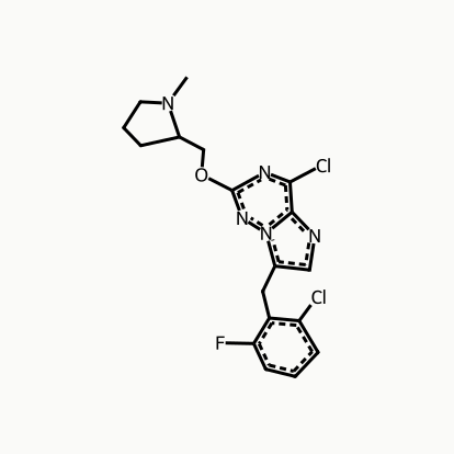 CN1CCCC1COc1nc(Cl)c2ncc(Cc3c(F)cccc3Cl)n2n1